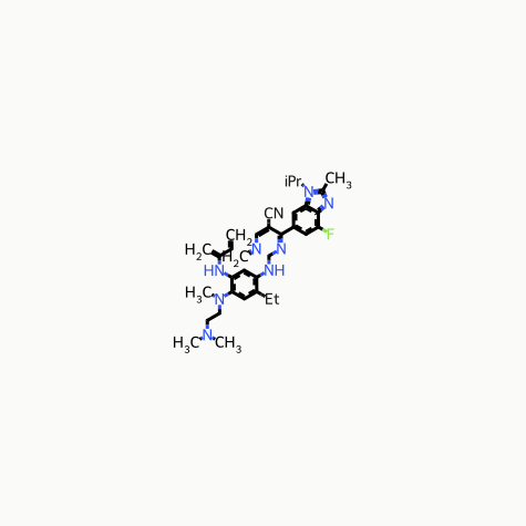 C=CC(=C)Nc1cc(NC/N=C(\C(C#N)=C/N=C)c2cc(F)c3nc(C)n(C(C)C)c3c2)c(CC)cc1N(C)CCN(C)C